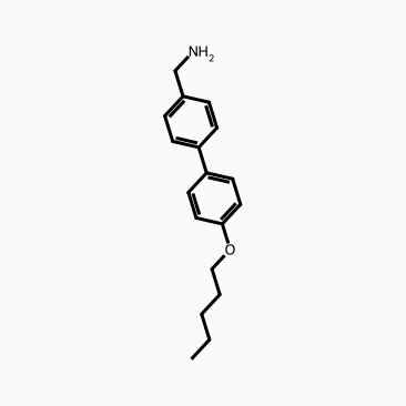 CCCCCOc1ccc(-c2ccc(CN)cc2)cc1